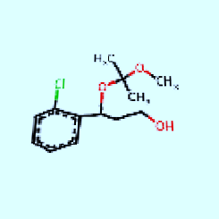 COC(C)(C)OC(CCO)c1ccccc1Cl